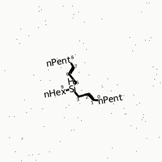 CCCCC/C=C/C[SiH](C/C=C/CCCCC)CCCCCC